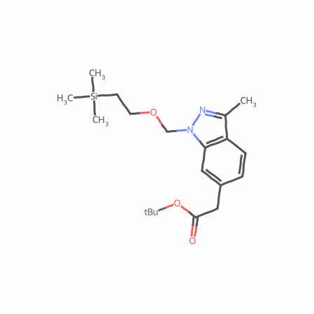 Cc1nn(COCC[Si](C)(C)C)c2cc(CC(=O)OC(C)(C)C)ccc12